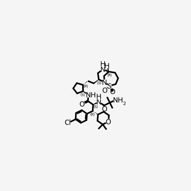 CC1(C)CC([C@H](c2ccc(Cl)cc2)[C@H](NC(=O)C(C)(C)N)C(=O)N[C@H]2CCC[C@@H]2CC[C@H]2CN[C@@H]3CCCS(=O)(=O)N2C3)CCO1